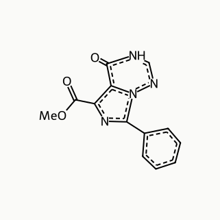 COC(=O)c1nc(-c2ccccc2)n2nc[nH]c(=O)c12